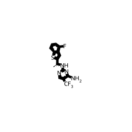 C[C@@H](Nc1ncc(C(F)(F)F)c(N)n1)c1cc2c(F)cccc2s1